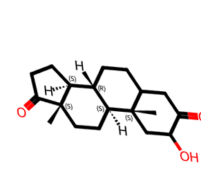 C[C@]12CC(O)C(=O)CC1CC[C@@H]1[C@@H]2CC[C@]2(C)C(=O)CC[C@@H]12